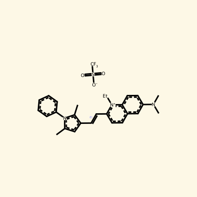 CC[n+]1c(/C=C/c2cc(C)n(-c3ccccc3)c2C)ccc2cc(N(C)C)ccc21.O=S(=O)([O-])C(F)(F)F